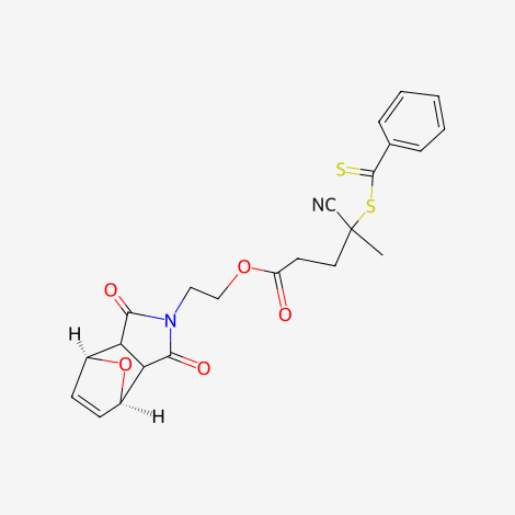 CC(C#N)(CCC(=O)OCCN1C(=O)C2C(C1=O)[C@H]1C=C[C@@H]2O1)SC(=S)c1ccccc1